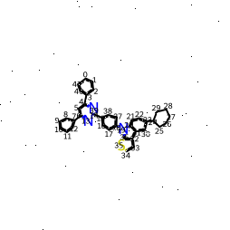 c1ccc(-c2cc(-c3ccccc3)nc(-c3ccc(-n4c5ccc(C6CCCCC6)cc5c5ccsc54)cc3)n2)cc1